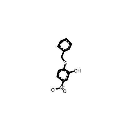 O=[N+]([O-])c1ccc(SCc2ccccc2)c(O)c1